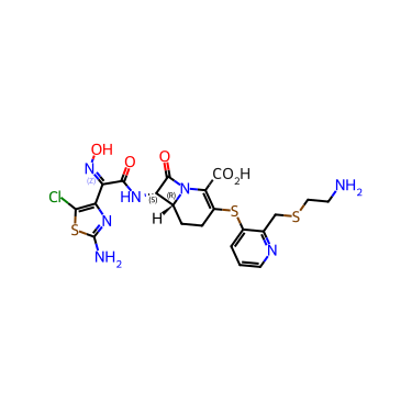 NCCSCc1ncccc1SC1=C(C(=O)O)N2C(=O)[C@@H](NC(=O)/C(=N\O)c3nc(N)sc3Cl)[C@H]2CC1